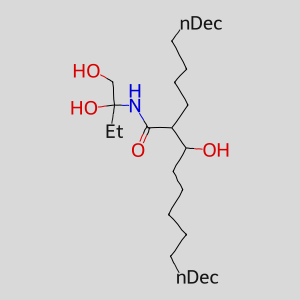 CCCCCCCCCCCCCCCC(O)C(CCCCCCCCCCCCCC)C(=O)NC(O)(CC)CO